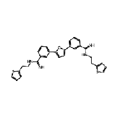 N=C(NCCc1cccs1)c1cccc(-c2ccc(-c3cccc(C(=N)NCCc4cccs4)c3)o2)c1